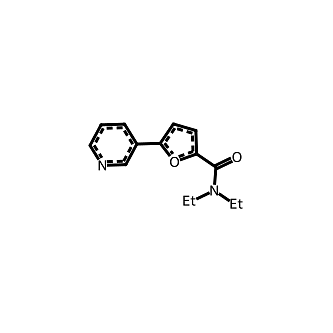 CCN(CC)C(=O)c1ccc(-c2cccnc2)o1